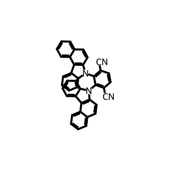 N#Cc1ccc(C#N)c(-n2c3ccccc3c3c4ccccc4ccc32)c1-n1c2ccccc2c2c3ccccc3ccc21